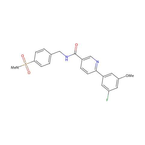 CNS(=O)(=O)c1ccc(CNC(=O)c2ccc(-c3cc(F)cc(OC)c3)nc2)cc1